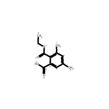 CCOC(=O)c1c(C)cc(C)cc1C(=O)O